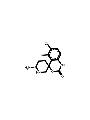 N[C@H]1CCC2(CN1)OC(=O)Nc1ccc(Cl)c(F)c12